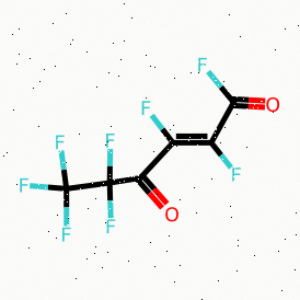 O=C(F)C(F)=C(F)C(=O)C(F)(F)C(F)(F)F